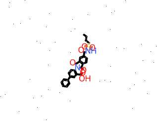 CCCCS(=O)(=O)NC(=O)c1ccc2c(c1)C(=O)N(c1ccc(-c3ccccc3)cc1C(=O)O)C2=O